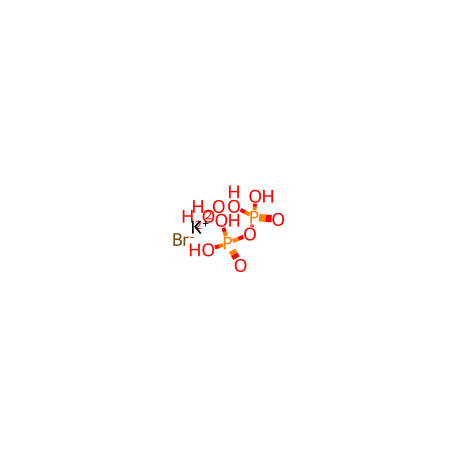 O.O.O=P(O)(O)OP(=O)(O)O.[Br-].[K+]